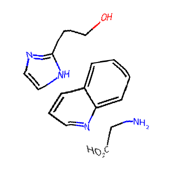 NCC(=O)O.OCCc1ncc[nH]1.c1ccc2ncccc2c1